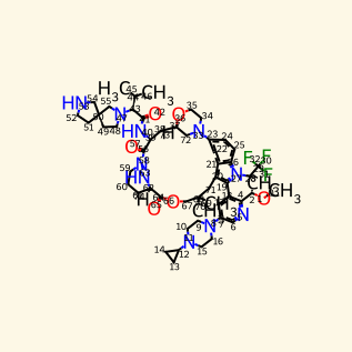 CO[C@@H](C)c1ncc(N2CCN(C3CC3)CC2)cc1-c1c2c3cc(ccc3n1CC(F)(F)F)N1CCO[C@@H](C[C@H](NC(=O)[C@H](C(C)C)N3CC[C@]4(CCNC4)C3)C(=O)N3CCC[C@H](N3)C(=O)OCC(C)(C)C2)C1